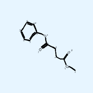 COC(=O)CCC(=O)Oc1ccccc1